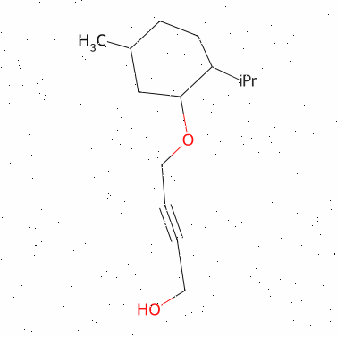 CC1CCC(C(C)C)C(OCC#CCO)C1